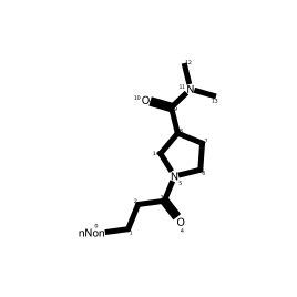 CCCCCCCCCCCC(=O)N1CCC(C(=O)N(C)C)C1